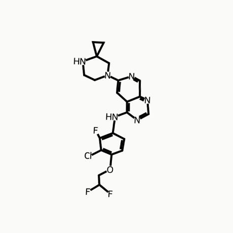 Fc1c(Nc2ncnc3cnc(N4CCNC5(CC5)C4)cc23)ccc(OCC(F)F)c1Cl